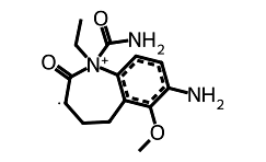 CC[N+]1(C(N)=O)C(=O)[CH]CCc2c1ccc(N)c2OC